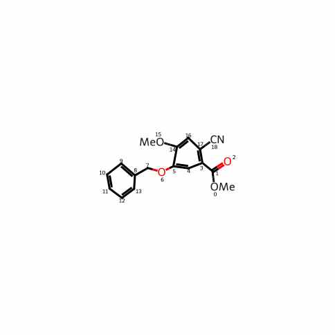 COC(=O)c1cc(OCc2ccccc2)c(OC)cc1C#N